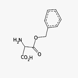 NC(C(=O)O)C(=O)OCc1ccccc1